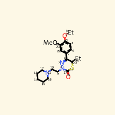 CCOc1ccc(C2=NN(CCN3CCCCC3)C(=O)SC2CC)cc1OC